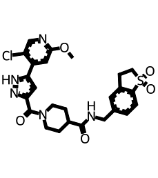 COc1cc(-c2cc(C(=O)N3CCC(C(=O)NCc4ccc5c(c4)CCS5(=O)=O)CC3)n[nH]2)c(Cl)cn1